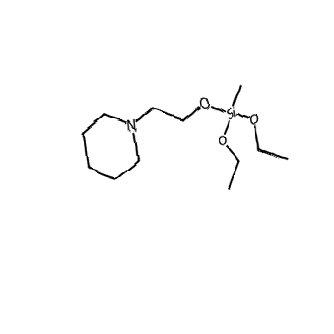 CCO[Si](C)(OCC)OCCN1CCCCC1